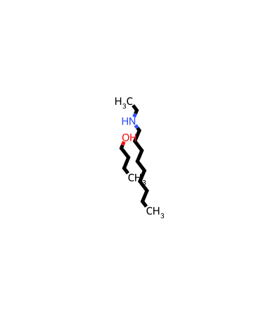 CCCCCCCCCNCC.CCCCO